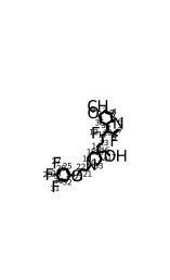 COc1ccc2ncc(F)c([C@H](F)CCC3(CO)CCN(CCOc4cc(F)c(F)c(F)c4)CC3)c2c1